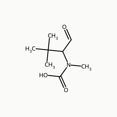 CN(C(=O)O)C(C=O)C(C)(C)C